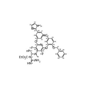 CCCC(N(C(=N)N)C(=O)OCC)N(C)c1c(F)c(Oc2cccc(-c3nccn3C)c2)nc(Oc2cc(C#N)ccc2OCc2ccccc2)c1F